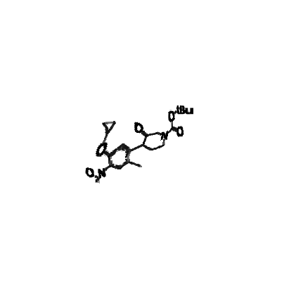 Cc1cc([N+](=O)[O-])c(OC2CC2)cc1C1CCN(C(=O)OC(C)(C)C)CC1=O